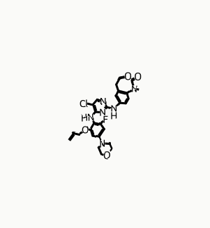 C=CCOc1cc(N2CCOCC2)cc(F)c1Nc1nc(Nc2ccc3c(c2)CCOC(=O)N3C)ncc1Cl